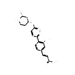 CC[C@H]1C[C@@H](Oc2ccc(-c3ccc(/C=C/C(=O)NC)cc3O)nn2)CCN1